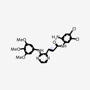 COc1cc(Nc2nccnc2/C=C/C(=O)Nc2cc(Cl)c(Cl)cc2N)cc(OC)c1OC